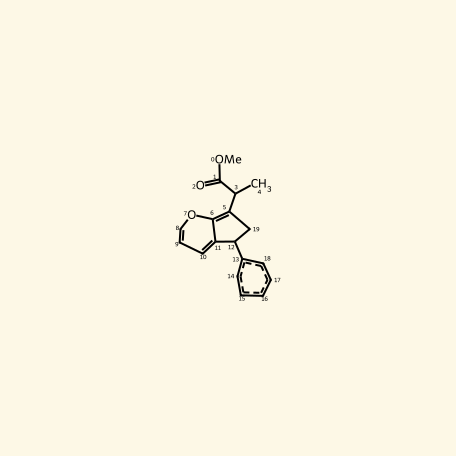 COC(=O)C(C)C1=C2OC=CC=C2C(c2ccccc2)C1